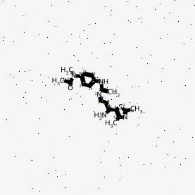 C=C(/N=C\C=C(/N)c1sc(C)nc1C)Nc1ccc(N(C)C(C)=O)cc1